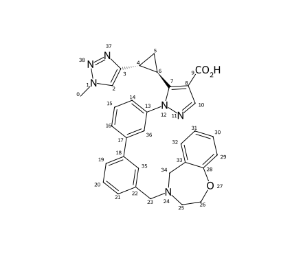 Cn1cc([C@@H]2C[C@H]2c2c(C(=O)O)cnn2-c2cccc(-c3cccc(CN4CCOc5ccccc5C4)c3)c2)nn1